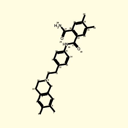 Cc1cc2c(cc1C)CN(CCc1ccc(NC(=O)c3cc(C)c(C)cc3C(N)=O)cc1)CC2